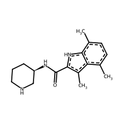 Cc1ccc(C)c2c(C)c(C(=O)N[C@@H]3CCCNC3)[nH]c12